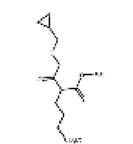 CCOC(=O)CCCC(C(=O)COCC1CC1)C(=O)OC(C)(C)C